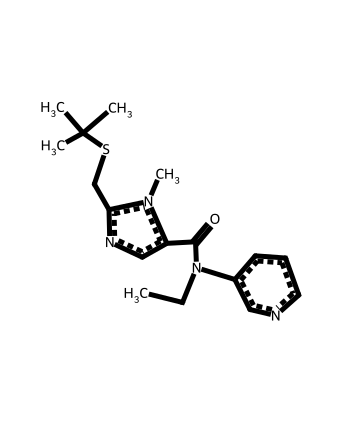 CCN(C(=O)c1cnc(CSC(C)(C)C)n1C)c1cccnc1